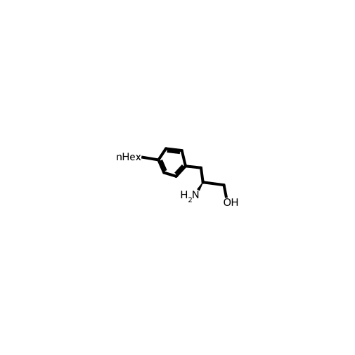 CCCCCCc1ccc(C[C@H](N)CO)cc1